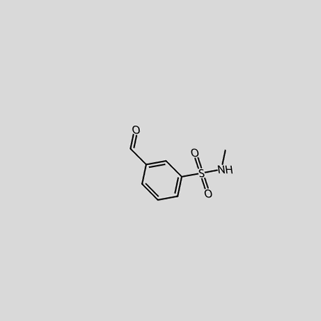 CNS(=O)(=O)c1cccc(C=O)c1